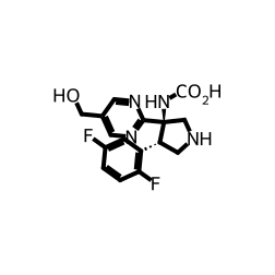 O=C(O)N[C@@]1(c2ncc(CO)cn2)CNC[C@@H]1c1cc(F)ccc1F